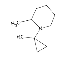 CC1CCCCN1C1(C#N)CC1